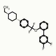 CC[C@H]1CC[C@H](c2ccc(C(F)(F)Oc3ccccc3-c3ccc(F)c(F)c3)cc2)CC1